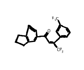 O=C(C=C(c1cccc(C(F)(F)F)c1)C(F)(F)F)c1ccc2c(c1)CCC2